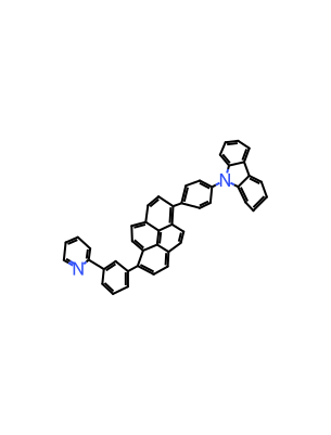 c1ccc(-c2cccc(-c3ccc4ccc5c(-c6ccc(-n7c8ccccc8c8ccccc87)cc6)ccc6ccc3c4c65)c2)nc1